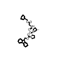 C[C@H]1C[C@@H](C(=O)NCC(=O)OCc2ccccc2)N(C(=O)[C@@H]2CCCN2C(=O)OCC2c3ccccc3-c3ccccc32)C1